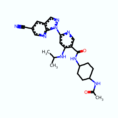 CC(=O)NC1CCC(NC(=O)c2cnc(-n3ncc4cc(C#N)cnc43)cc2NC(C)C)CC1